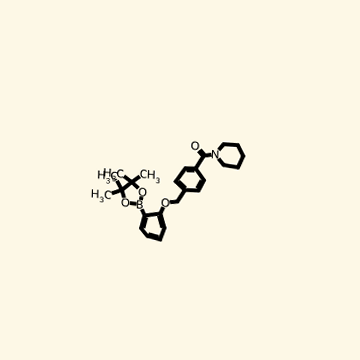 CC1(C)OB(c2ccccc2OCc2ccc(C(=O)N3CCCCC3)cc2)OC1(C)C